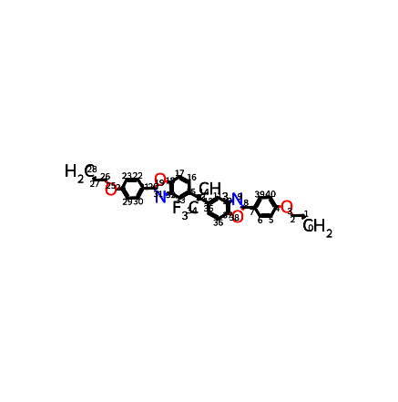 C=CCOc1ccc(-c2nc3cc(C(C)(c4ccc5oc(-c6ccc(OCC=C)cc6)nc5c4)C(F)(F)F)ccc3o2)cc1